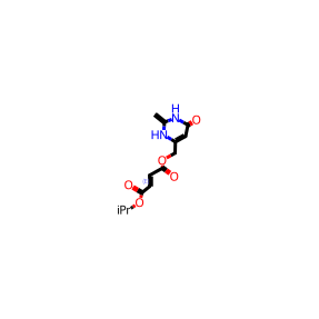 C=C1NC(=O)C=C(COC(=O)/C=C/C(=O)OC(C)C)N1